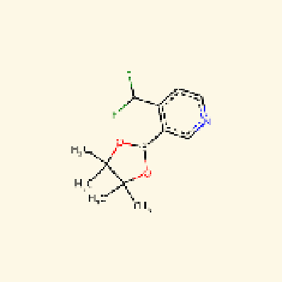 CC1(C)OB(c2cnccc2C(F)F)OC1(C)C